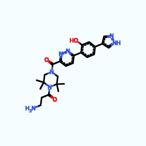 CC1(C)CN(C(=O)c2ccc(-c3ccc(-c4cn[nH]c4)cc3O)nn2)CC(C)(C)N1C(=O)CCN